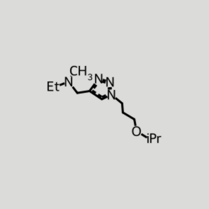 CCN(C)Cc1cn(CCCOC(C)C)nn1